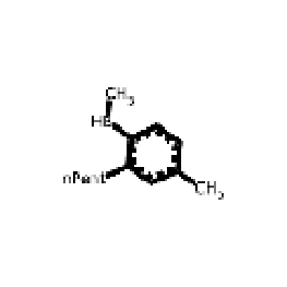 CBc1ccc(C)cc1CCCCC